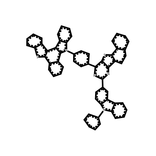 c1ccc(-n2c3ccccc3c3cc(-c4nc(-c5ccc(-n6c7ccccc7c7c8c9ccccc9sc8c8ccccc8c76)cc5)c5sc6c7ccccc7ccc6c5n4)ccc32)cc1